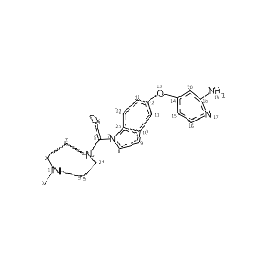 CN1CCN(C(=O)n2ccc3cc(Oc4ccnc(N)c4)ccc32)CC1